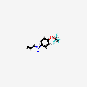 C=CCNc1ccc(OC(F)(F)F)cc1